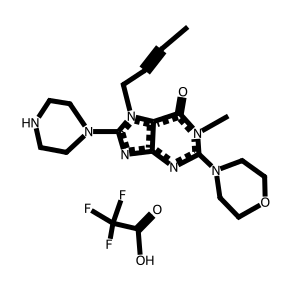 CC#CCn1c(N2CCNCC2)nc2nc(N3CCOCC3)n(C)c(=O)c21.O=C(O)C(F)(F)F